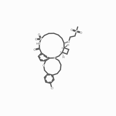 CS(=O)(=O)CCO[C@@H]1CCCCCS(=O)(=O)NC(=O)c2ccc3c(c2)N(CCCCc2cc(Cl)ccc2CO3)C[C@@H]2CC[C@H]21